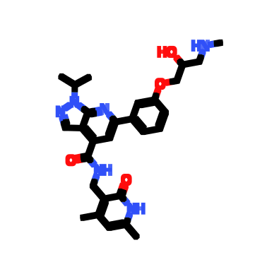 CNCC(O)COc1cccc(-c2cc(C(=O)NCc3c(C)cc(C)[nH]c3=O)c3cnn(C(C)C)c3n2)c1